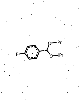 CC(C)O[C](OC(C)C)c1ccc(F)cc1